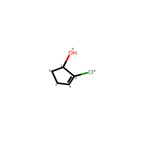 OC1CCC=C1Cl